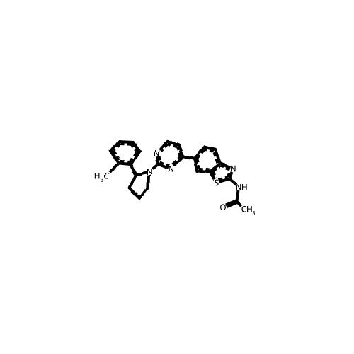 CC(=O)Nc1nc2ccc(-c3ccnc(N4CCCC4c4ccccc4C)n3)cc2s1